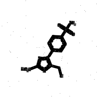 CCOC(=O)c1nc(CCl)n(-c2ccc(S(N)(=O)=O)cc2)n1